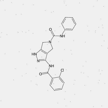 O=C(Nc1n[nH]c2c1CN(C(=O)Nc1ccccc1)C2)c1ccccc1Cl